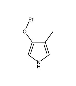 CCOc1c[nH]cc1C